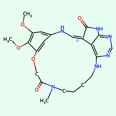 COc1cc2cc(c1OC)OCC(=O)N(C)CCCCNc1ncnc3c1/C(=C/N2)C(=O)N3